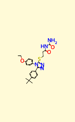 CCOc1ccc(-n2c(SCCC(=O)NC(N)=O)nnc2-c2ccc(C(C)(C)C)cc2)cc1